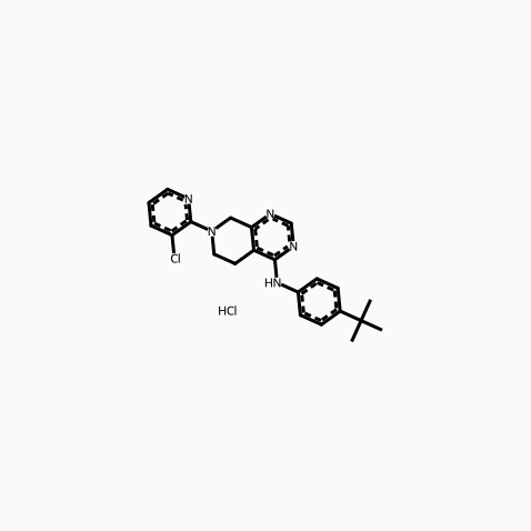 CC(C)(C)c1ccc(Nc2ncnc3c2CCN(c2ncccc2Cl)C3)cc1.Cl